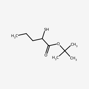 CCCC(S)C(=O)OC(C)(C)C